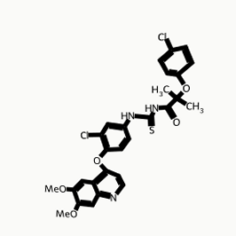 COc1cc2nccc(Oc3ccc(NC(=S)NC(=O)C(C)(C)Oc4ccc(Cl)cc4)cc3Cl)c2cc1OC